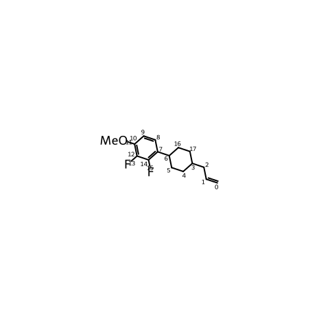 C=CCC1CCC(c2ccc(OC)c(F)c2F)CC1